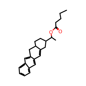 CCCCC(=O)OC(C)C1CCC2Cc3cc4ccccc4cc3C=C2C1